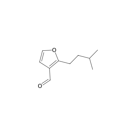 CC(C)CCc1occc1C=O